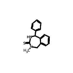 CN1Cc2ccccc2C(c2ccccc2)NC1=S